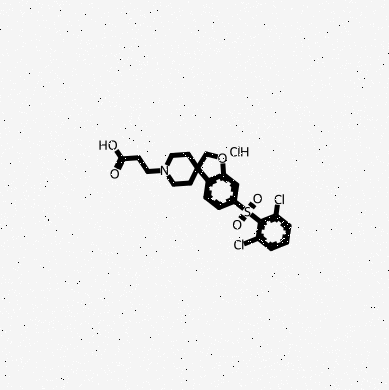 Cl.O=C(O)CCN1CCC2(CC1)COc1cc(S(=O)(=O)c3c(Cl)cccc3Cl)ccc12